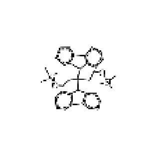 C[Si](C)(C)OCCC(CCO[Si](C)(C)C)(C1c2ccccc2-c2ccccc21)C1c2ccccc2-c2ccccc21